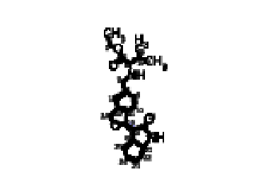 CCOC(=O)[C@@H](NCc1ccc2c(c1)CO/C2=C1/C(=O)Nc2ccccc21)C(C)C